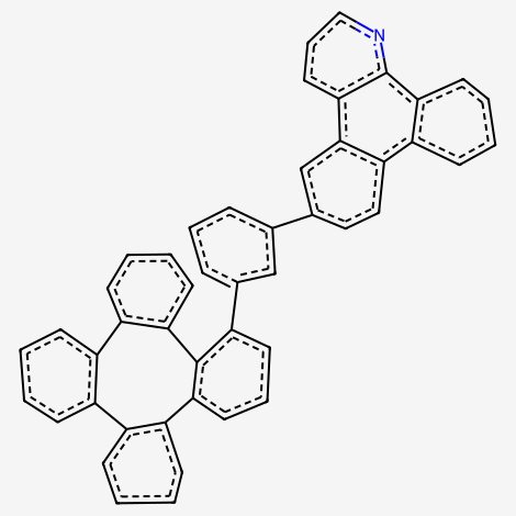 c1cc(-c2ccc3c4ccccc4c4ncccc4c3c2)cc(-c2cccc3c2-c2ccccc2-c2ccccc2-c2ccccc2-3)c1